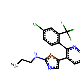 CCCNc1ncc(-c2cccnc2-c2ccc(Cl)cc2C(F)(F)F)s1